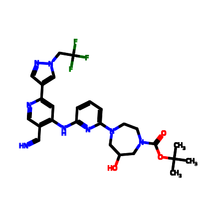 CC(C)(C)OC(=O)N1CCN(c2cccc(Nc3cc(-c4cnn(CC(F)(F)F)c4)ncc3C=N)n2)CC(O)C1